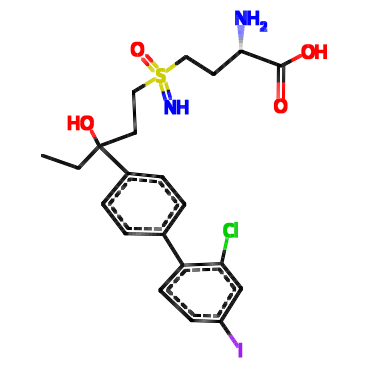 CCC(O)(CCS(=N)(=O)CC[C@H](N)C(=O)O)c1ccc(-c2ccc(I)cc2Cl)cc1